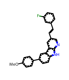 COc1ccc(-c2ccc3[nH]c4ncc(C=Cc5cccc(F)c5)cc4c3c2)cc1